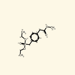 CCOP(=O)(Cc1ccc(CC(=O)OC)cc1)OCC